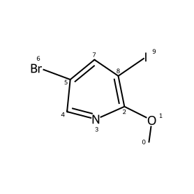 COc1ncc(Br)cc1I